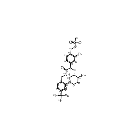 CC(C(=O)NCc1ccc(C(F)(F)F)nc1N1CCC(F)CC1)c1ccc(CNS(C)(=O)=O)c(F)c1